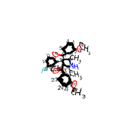 COc1cccc(C(=O)[C@@H]2[C@H](c3cccc(F)c3C)[C@H](C(=O)c3cccc(OC)c3)[C@@H](C)N[C@H]2C)c1